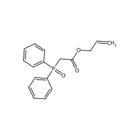 C=CCOC(=O)CP(=O)(c1ccccc1)c1ccccc1